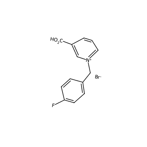 O=C(O)c1ccc[n+](Cc2ccc(F)cc2)c1.[Br-]